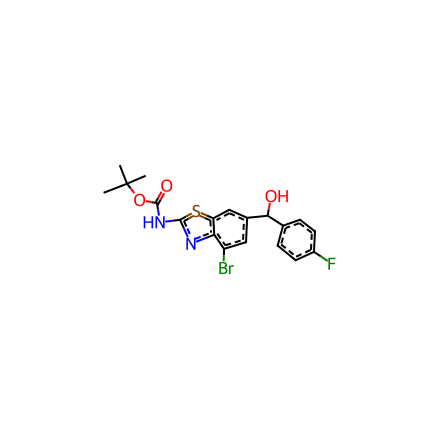 CC(C)(C)OC(=O)Nc1nc2c(Br)cc(C(O)c3ccc(F)cc3)cc2s1